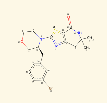 CC1(C)Cc2nc(N3CCOC[C@@H]3Cc3cccc(Br)c3)sc2C(=O)N1